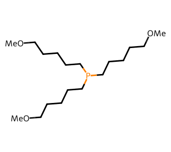 COCCCCCP(CCCCCOC)CCCCCOC